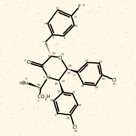 CCCC[C@H](C(=O)O)N1C(=O)[C@H](Cc2ccc(F)cc2)O[C@@H](c2ccc(Cl)cc2)[C@H]1c1ccc(Cl)cc1